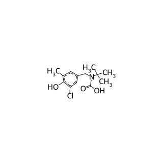 Cc1cc(CN(C(=O)O)C(C)(C)C)cc(Cl)c1O